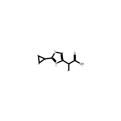 CC(C(=O)O)c1csc(C2CC2)n1